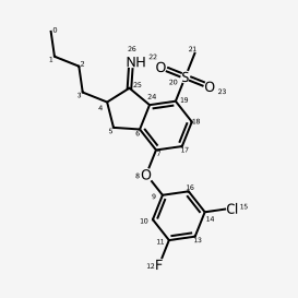 CCCCC1Cc2c(Oc3cc(F)cc(Cl)c3)ccc(S(C)(=O)=O)c2C1=N